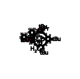 C=C(/C=C1Cc2cc(C(C)(C)C)cc(c2OCCC)Cc2cc(C(C)(C)C)cc(c2OCCC)Cc2cc(C(C)(C)C)cc(c2OP(c2ccccc2)c2ccccc2)C/C=C/1OCCC)C(C)(C)C